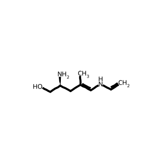 C=CN/C=C(\C)C[C@H](N)CO